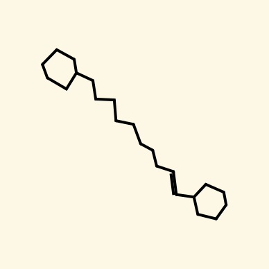 C(=CC1CCCCC1)CCCCCCCCC1CCCCC1